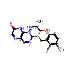 C[C@H](CO)NN1c2[nH]c(=O)cnc2C=NC1SCc1cccc(C(F)(F)F)c1F